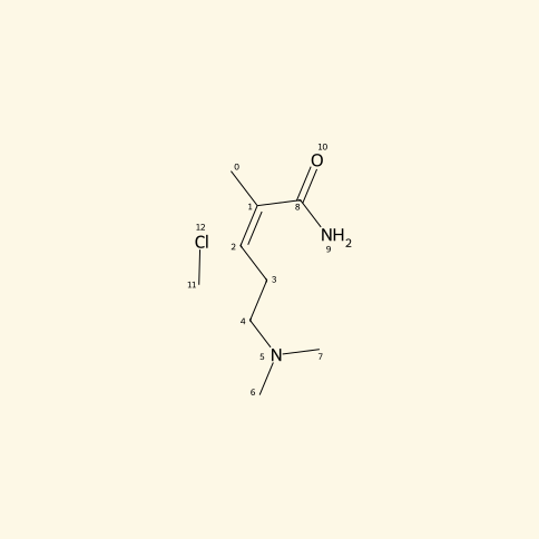 CC(=CCCN(C)C)C(N)=O.CCl